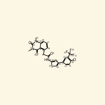 Cn1c(=O)c2c(CC(=O)Nc3nc(-c4ccc(Cl)c(C(F)(F)F)c4)cs3)cccc2n(C)c1=O